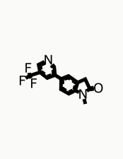 CN1C(=O)Cc2cc(-c3cncc(C(F)(F)F)c3)ccc21